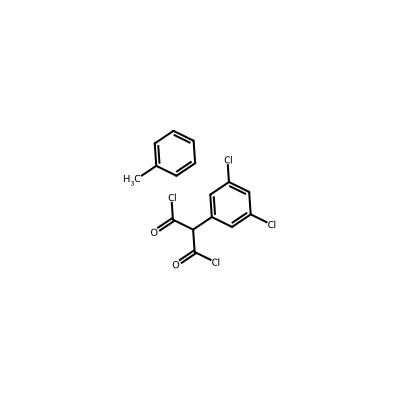 Cc1ccccc1.O=C(Cl)C(C(=O)Cl)c1cc(Cl)cc(Cl)c1